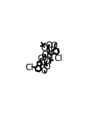 COc1ccc(Cl)c2cc(OBOc3cc4c(Cl)ccc(OC)c4n3C(=O)OC(C)(C)C)n(C(=O)OC(C)(C)C)c12